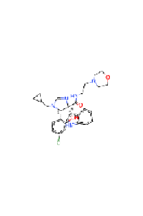 O=C(NCCN1CCOCC1)[C@]1(c2c[nH]c3ccccc23)N=CN(CC2CC2)[C@H]1c1ccc(Cl)cc1O